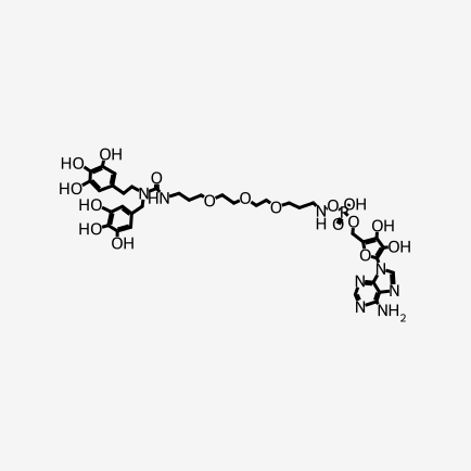 Nc1ncnc2c1ncn2-c1oc(COP(=O)(O)ONCCCOCCOCCOCCCNC(=O)N(CCc2cc(O)c(O)c(O)c2)Cc2cc(O)c(O)c(O)c2)c(O)c1O